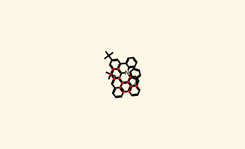 CC(C)(C)c1cc(-c2ccccc2N(c2ccccc2-c2cccc3cccc(-c4ccccc4)c23)c2ccccc2-c2cccc3oc4ccccc4c23)cc(C(C)(C)C)c1